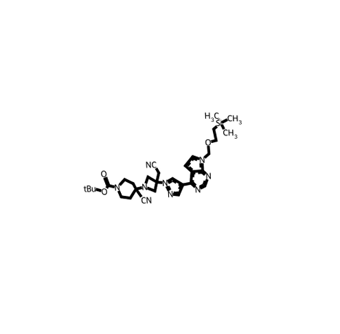 CC(C)(C)OC(=O)N1CCC(C#N)(N2CC(CC#N)(n3cc(-c4ncnc5c4ccn5COCC[Si](C)(C)C)cn3)C2)CC1